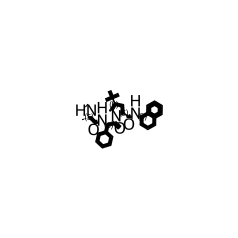 CN[C@@H](C)C(=O)N[C@H](C(=O)N1C[C@@H](C(C)(C)C)C[C@H]1C(=O)N[C@@H]1CCCc2ccccc21)C1CCCCC1